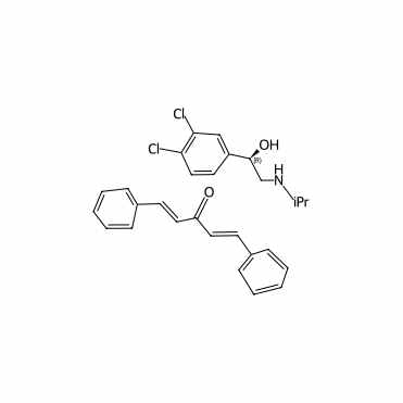 CC(C)NC[C@H](O)c1ccc(Cl)c(Cl)c1.O=C(C=Cc1ccccc1)C=Cc1ccccc1